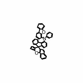 c1ccc(N(c2cccc3c2-c2ccccc2C32c3ccccc3Oc3c2ccc2ccccc32)c2cccc3c2oc2ccccc23)cc1